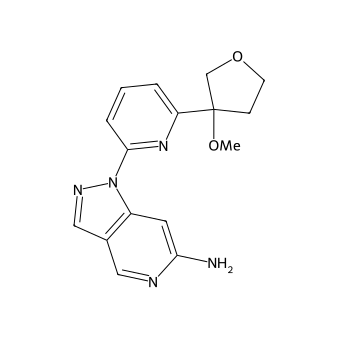 COC1(c2cccc(-n3ncc4cnc(N)cc43)n2)CCOC1